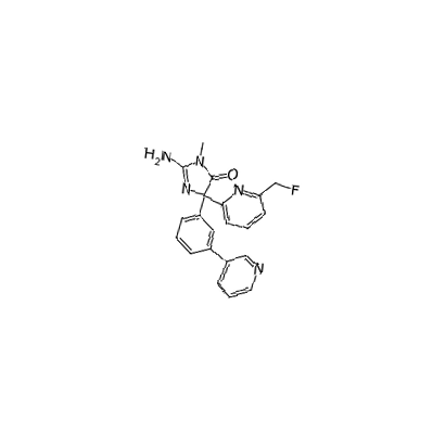 CN1C(=O)C(c2cccc(-c3cccnc3)c2)(c2cccc(CF)n2)N=C1N